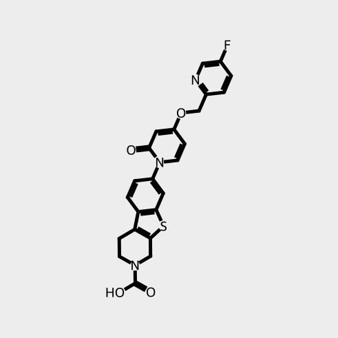 O=C(O)N1CCc2c(sc3cc(-n4ccc(OCc5ccc(F)cn5)cc4=O)ccc23)C1